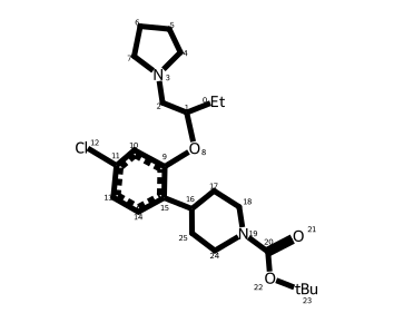 CCC(CN1CCCC1)Oc1cc(Cl)ccc1C1CCN(C(=O)OC(C)(C)C)CC1